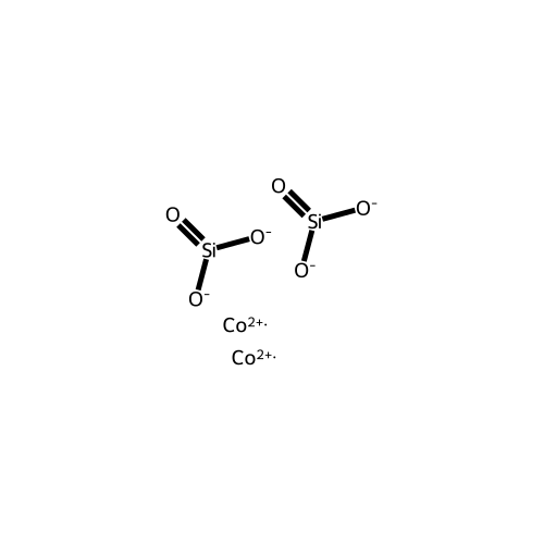 O=[Si]([O-])[O-].O=[Si]([O-])[O-].[Co+2].[Co+2]